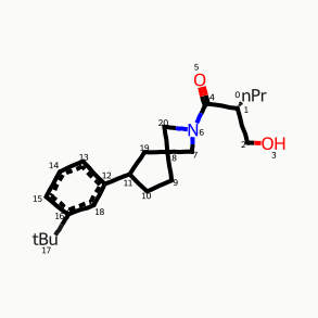 CCC[C@H](CO)C(=O)N1CC2(CCC(c3cccc(C(C)(C)C)c3)C2)C1